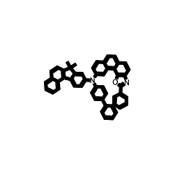 CC1(C)c2cc(N(c3ccc(-c4ccccc4)cc3)c3ccc4ccc5ccc6nc(-c7ccccc7)oc6c5c4c3)ccc2-c2c1ccc1ccccc21